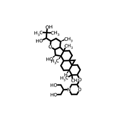 C[C@@H]1CC(C(O)C(C)(C)O)OC2C1C1(C)CCC34CC35CCC(OC3CN(C(CO)CO)CCO3)C(C)(C)[C@@H]5CCC4[C@]1(C)[C@H]2O